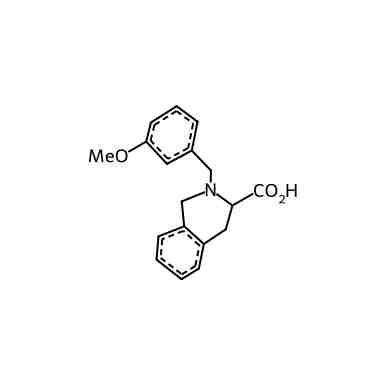 COc1cccc(CN2Cc3ccccc3CC2C(=O)O)c1